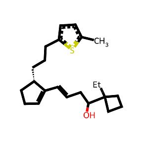 CCC1(C(O)C/C=C/C2=CCC[C@@H]2CCCc2ccc(C)s2)CCC1